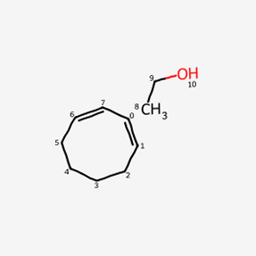 C1=CCCCCC=C1.CCO